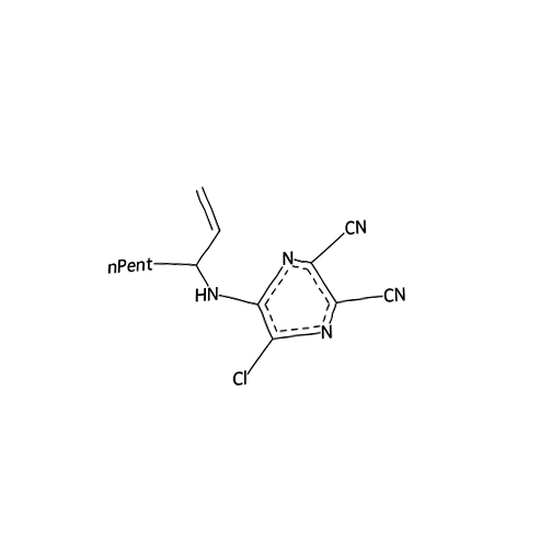 C=CC(CCCCC)Nc1nc(C#N)c(C#N)nc1Cl